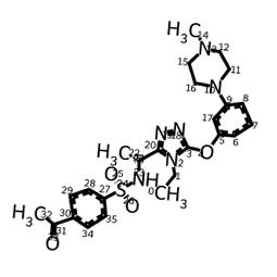 CCn1c(Oc2cccc(N3CCN(C)CC3)c2)nnc1[C@@H](C)NS(=O)(=O)c1ccc(C(C)=O)cc1